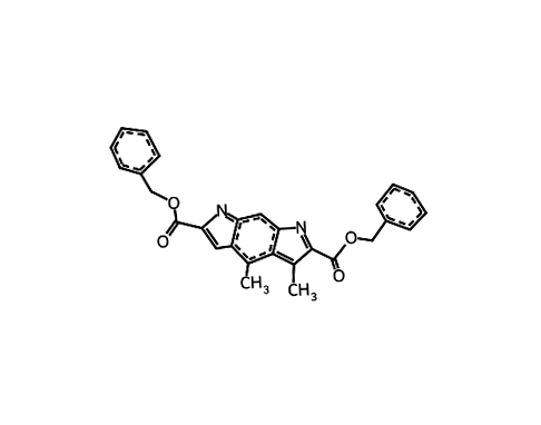 CC1=c2c(cc3c(c2C)C=C(C(=O)OCc2ccccc2)N=3)N=C1C(=O)OCc1ccccc1